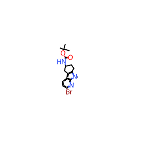 Cn1c2c(c3ccc(Br)nc31)CC(NC(=O)OC(C)(C)C)CC2